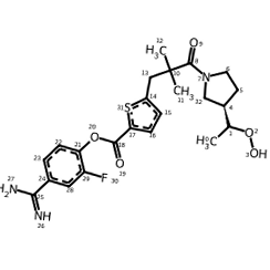 CC(OO)[C@@H]1CCN(C(=O)C(C)(C)Cc2ccc(C(=O)Oc3ccc(C(=N)N)cc3F)s2)C1